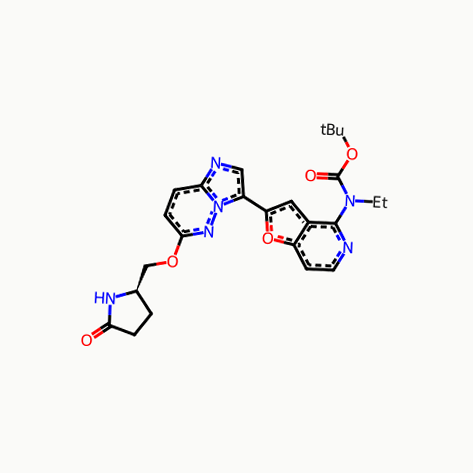 CCN(C(=O)OC(C)(C)C)c1nccc2oc(-c3cnc4ccc(OC[C@H]5CCC(=O)N5)nn34)cc12